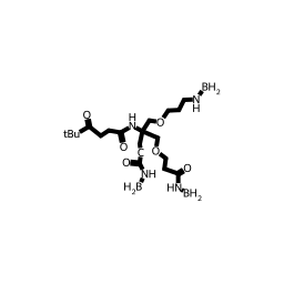 BNCCCOCC(CCC(=O)NB)(COCCC(=O)NB)NC(=O)CCC(=O)C(C)(C)C